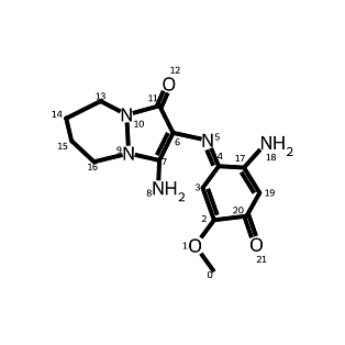 COC1=C/C(=N\c2c(N)n3n(c2=O)CCCC3)C(N)=CC1=O